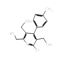 CCc1nc(CC(C)C)c(CC(C)(C)C)c(-c2ccc(C)cc2)c1CO